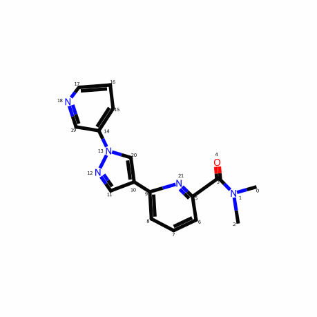 CN(C)C(=O)c1cccc(-c2cnn(-c3cccnc3)c2)n1